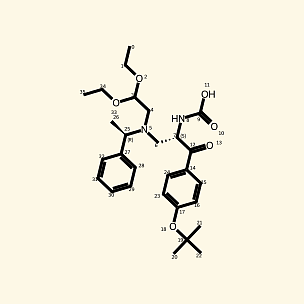 CCOC(CN(C[C@H](NC(=O)O)C(=O)c1ccc(OC(C)(C)C)cc1)[C@H](C)c1ccccc1)OCC